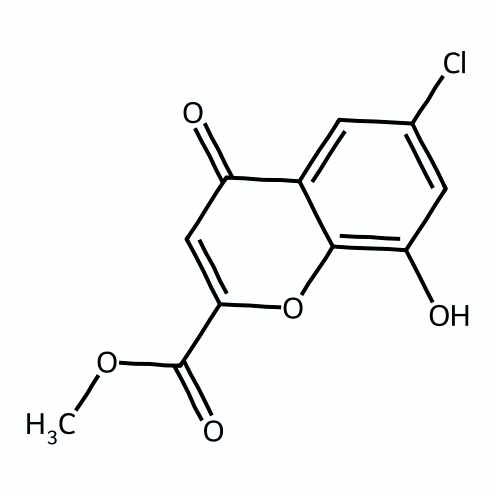 COC(=O)c1cc(=O)c2cc(Cl)cc(O)c2o1